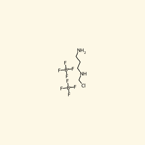 F[B-](F)(F)F.F[B-](F)(F)F.NCCCNCCl